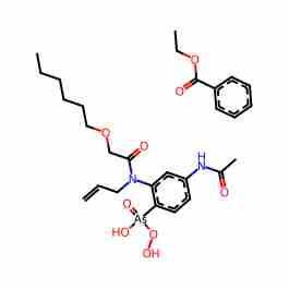 C=CCN(C(=O)COCCCCCC)c1cc(NC(C)=O)ccc1[As](=O)(O)OO.CCOC(=O)c1ccccc1